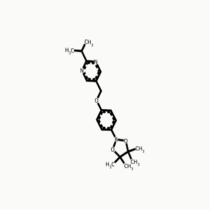 CC(C)c1ncc(COc2ccc(B3OC(C)(C)C(C)(C)O3)cc2)cn1